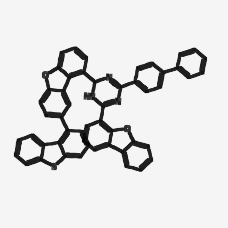 c1ccc(-c2ccc(C3=NC(c4cccc5oc6ccc(-c7cccc8sc9ccccc9c78)cc6c45)NC(c4cccc5c4oc4ccccc45)=N3)cc2)cc1